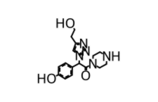 O=C(C(c1ccc(O)cc1)n1cc(CCO)nn1)N1CCNCC1